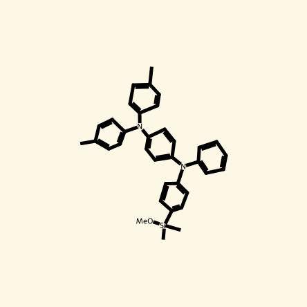 CO[Si](C)(C)c1ccc(N(c2ccccc2)c2ccc(N(c3ccc(C)cc3)c3ccc(C)cc3)cc2)cc1